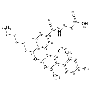 CCCCCCC(Oc1cc(C)c(-c2ccc(F)cc2C)c(C)c1)c1ccc(C(=O)NCCC(=O)O)cc1